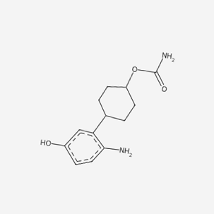 NC(=O)OC1CCC(c2cc(O)ccc2N)CC1